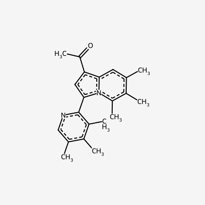 CC(=O)c1cc(-c2ncc(C)c(C)c2C)n2c(C)c(C)c(C)cc12